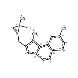 Cn1c(CC2=CS2(C)N=O)nc2cnc3ccc(C#N)cc3c21